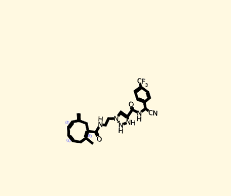 C=C1/C=C\C=C/C/C(C)=C(/C(=O)NCCN2C=C(C(=O)NC(C#N)c3ccc(C(F)(F)F)cc3)NN2)C1